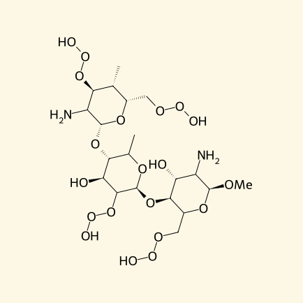 CO[C@H]1OC(COOO)[C@@H](O[C@@H]2OC(C)[C@@H](O[C@H]3O[C@@H](COOO)[C@@H](C)[C@H](OOO)C3N)[C@H](O)C2OOO)[C@H](O)C1N